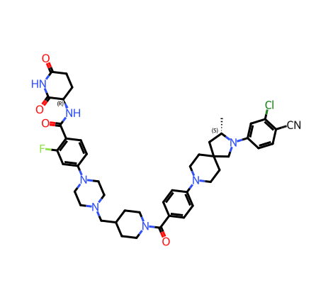 C[C@H]1CC2(CCN(c3ccc(C(=O)N4CCC(CN5CCN(c6ccc(C(=O)N[C@@H]7CCC(=O)NC7=O)c(F)c6)CC5)CC4)cc3)CC2)CN1c1ccc(C#N)c(Cl)c1